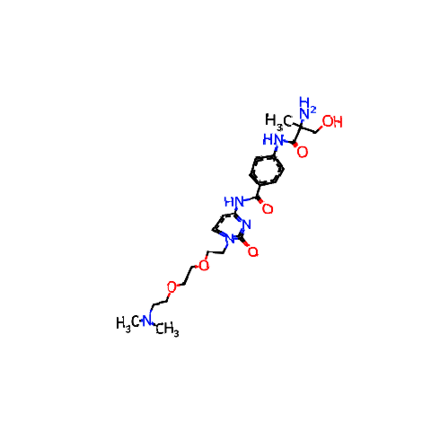 CN(C)CCOCCOCCn1ccc(NC(=O)c2ccc(NC(=O)C(C)(N)CO)cc2)nc1=O